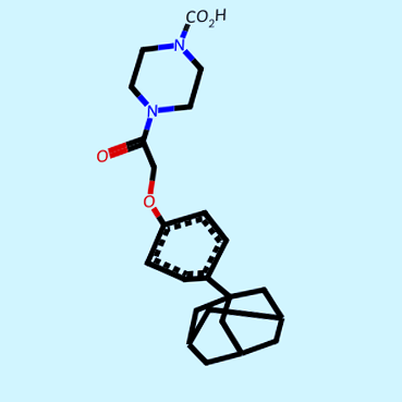 O=C(O)N1CCN(C(=O)COc2ccc(C34CC5CC(CC(C5)C3)C4)cc2)CC1